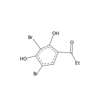 CCC(=O)c1cc(Br)c(O)c(Br)c1O